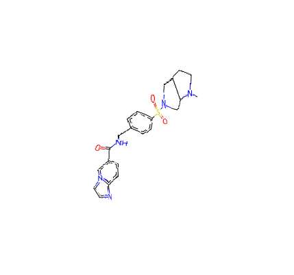 CN1CCC2CN(S(=O)(=O)c3ccc(CNC(=O)c4ccc5nccn5c4)cc3)CC21